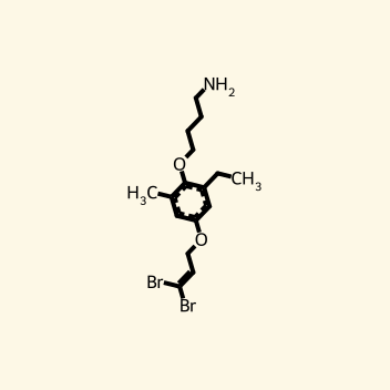 CCc1cc(OCC=C(Br)Br)cc(C)c1OCCCCN